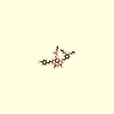 C=CCOC(=O)OC[C@H]1O[C@@H](OCCc2ccc(OCC=C)c(OCC=C)c2)[C@H](OC(C)=O)[C@@H](OC(C)=O)[C@@H]1OC(=O)C=Cc1ccc(Cl)cc1